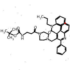 CCCN(C(=O)c1c(CN2CCN(C(=O)CCNC(=O)OC(C)(C)C)CC2)c(-c2ccccc2)nc2ccccc12)c1ccccc1